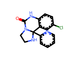 O=C1Nc2ccc(Cl)cc2C2(c3ccccn3)NCCN12